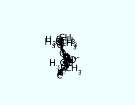 [C-]#[N+]CCOP(C)OC(C)c1cc(OCCCO[Si](C)(C)C(C)(C)C)ccc1[N+](=O)[O-]